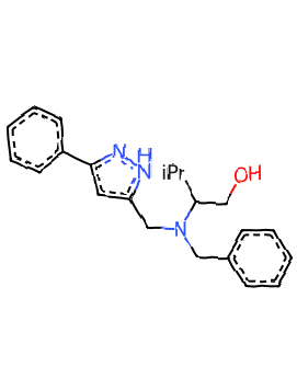 CC(C)C(CO)N(Cc1ccccc1)Cc1cc(-c2ccccc2)n[nH]1